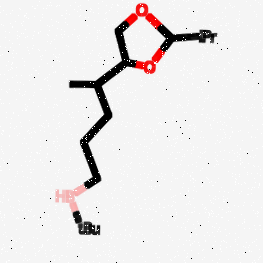 CC(C)C1OCC(C(C)CCCBC(C)(C)C)O1